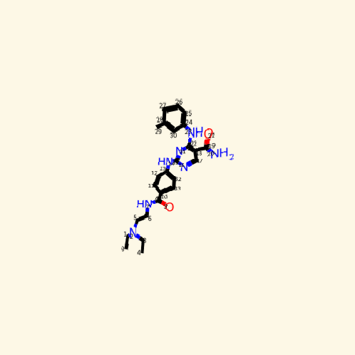 CCN(CC)CCNC(=O)c1ccc(Nc2ncc(C(N)=O)c(Nc3cccc(C)c3)n2)cc1